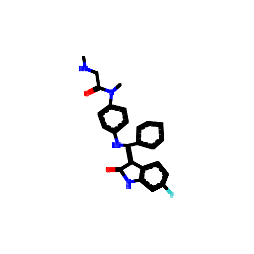 CNCC(=O)N(C)c1ccc(N/C(=C2\C(=O)Nc3cc(F)ccc32)c2ccccc2)cc1